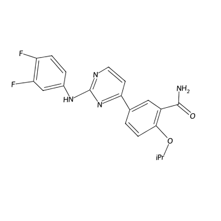 CC(C)Oc1ccc(-c2ccnc(Nc3ccc(F)c(F)c3)n2)cc1C(N)=O